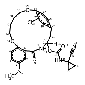 CSc1ccc2c(c1)C(=O)N[C@@H](OC(=O)NC1(C#N)CC1)Cc1ccc(c(Cl)c1)OCCCCO2